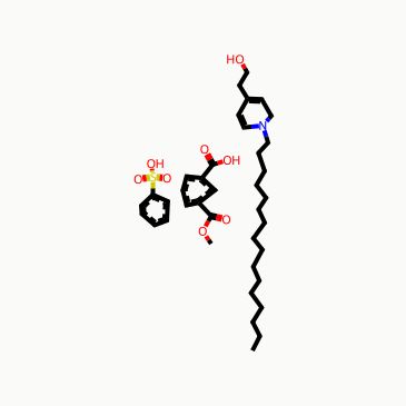 CCCCCCCCCCCCCCCCN1C=CC(CCO)=CC1.COC(=O)c1cccc(C(=O)O)c1.O=S(=O)(O)c1ccccc1